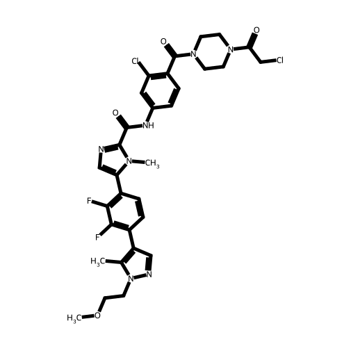 COCCn1ncc(-c2ccc(-c3cnc(C(=O)Nc4ccc(C(=O)N5CCN(C(=O)CCl)CC5)c(Cl)c4)n3C)c(F)c2F)c1C